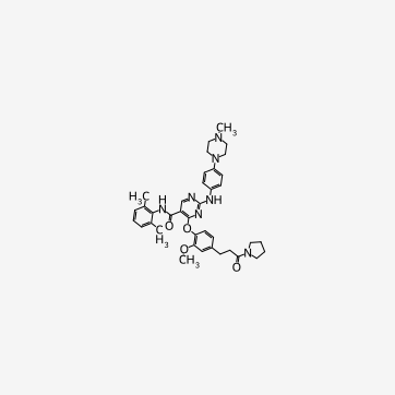 COc1cc(CCC(=O)N2CCCC2)ccc1Oc1nc(Nc2ccc(N3CCN(C)CC3)cc2)ncc1C(=O)Nc1c(C)cccc1C